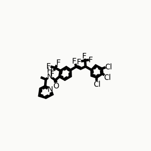 CC(NC(=O)c1ccc(C(F)=CC(c2cc(Cl)c(Cl)c(Cl)c2)C(F)(F)F)cc1C(F)(F)F)c1ccccn1